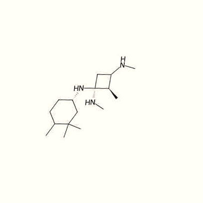 CNC1C[C@](NC)(N[C@H]2CCC(C)C(C)(C)C2)[C@@H]1C